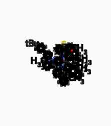 CC(C)(C)c1ccc(-c2ccc3c(c2)C2(C)CCCCC2(C)N3c2cc3c4c(c2)N(c2cccc5sc6ccccc6c25)c2cc5c(cc2B4c2cc4c(cc2N3c2cccc3c2sc2ccccc23)C(C)(C)c2ccccc2C4(C)C)C(C)(C)CCC5(C)C)cc1